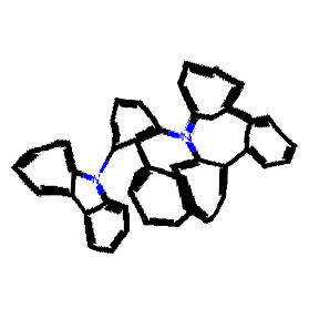 c1ccc(-c2c(N3c4ccccc4-c4ccccc4-c4ccccc43)cccc2-n2c3ccccc3c3ccccc32)cc1